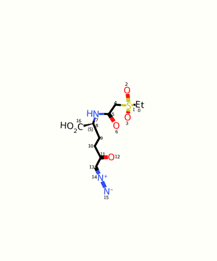 CCS(=O)(=O)CC(=O)N[C@@H](CCC(=O)C=[N+]=[N-])C(=O)O